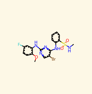 CNS(=O)(=O)c1ccccc1Nc1nc(Nc2cc(F)ccc2OC)ncc1Br